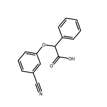 N#Cc1cccc(OC(C(=O)O)c2ccccc2)c1